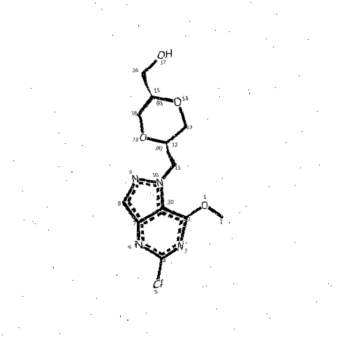 COc1nc(Cl)nc2cnn(C[C@@H]3CO[C@H](CO)CO3)c12